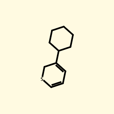 C1=CSCC(C2CCCCC2)=C1